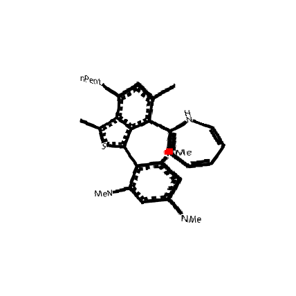 CC[CH]CCc1cc(C)c(C2=CC=CC=CN2)c2c(-c3c(NC)cc(NC)cc3NC)sc(C)c12